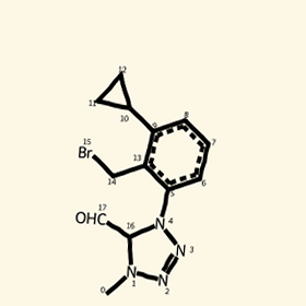 CN1N=NN(c2cccc(C3CC3)c2CBr)C1C=O